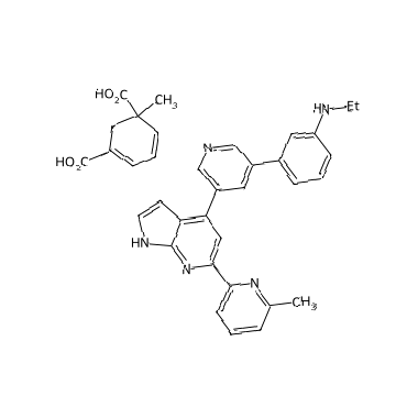 CC1(C(=O)O)C=CC=C(C(=O)O)C1.CCNc1cccc(-c2cncc(-c3cc(-c4cccc(C)n4)nc4[nH]ccc34)c2)c1